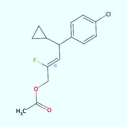 CC(=O)OC/C(F)=C/C(c1ccc(Cl)cc1)C1CC1